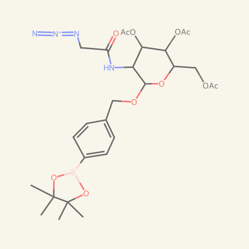 CC(=O)OCC1OC(OCc2ccc(B3OC(C)(C)C(C)(C)O3)cc2)C(NC(=O)CN=[N+]=[N-])C(OC(C)=O)C1OC(C)=O